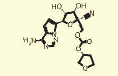 N#C[C@]1(COC(=O)O[C@@H]2CCOC2)O[C@@H](c2ccc3c(N)ncnn23)[C@H](O)[C@@H]1O